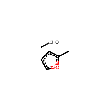 CC=O.Cc1ccco1